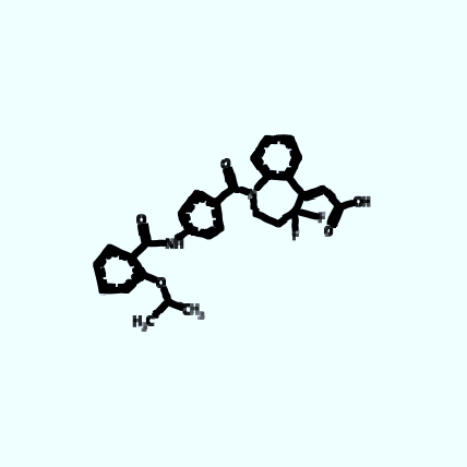 CC(C)Oc1ccccc1C(=O)Nc1ccc(C(=O)N2CCC(F)(F)C(=CC(=O)O)c3ccccc32)cc1